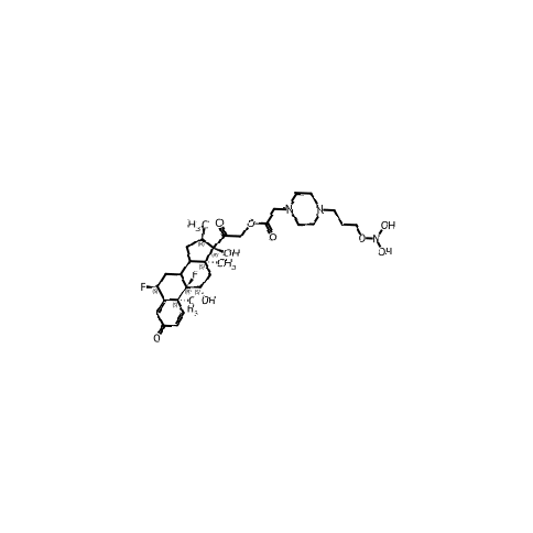 C[C@@H]1CC2C3C[C@H](F)C4=CC(=O)C=C[C@]4(C)[C@@]3(F)[C@@H](O)C[C@]2(C)[C@@]1(O)C(=O)COC(=O)CN1CCN(CCCON(O)O)CC1